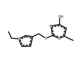 CCn1ccc(CSc2nc(C)cc(O)n2)c1